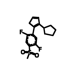 CS(=O)(=O)c1cc(F)c(C2=C(C3CCCC3)C=CC2)cc1F